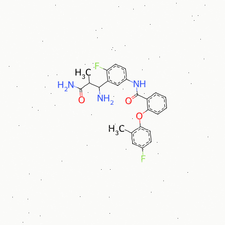 Cc1cc(F)ccc1Oc1ccccc1C(=O)Nc1ccc(F)c(C(N)C(C)C(N)=O)c1